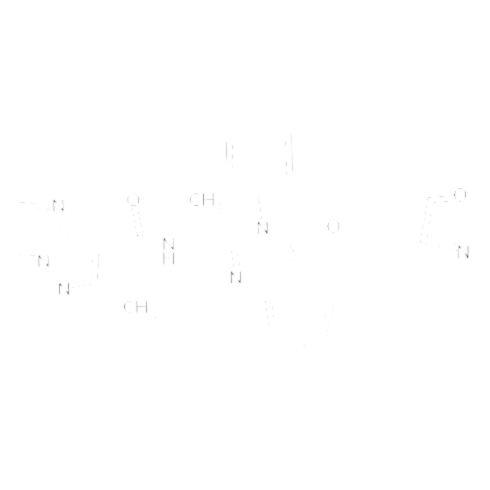 Cc1nn2cccnc2c1C(=O)NC(C)c1nc2cccc(C#Cc3cocn3)c2c(=O)n1-c1ccccc1